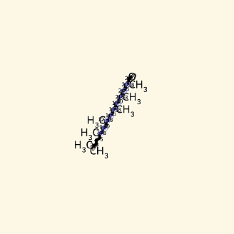 CC(C)=CCC/C(C)=C/C=C/C(C)=C/C=C/C=C(C)/C=C/C=C(C)/C=C/C=C(\C)C=O